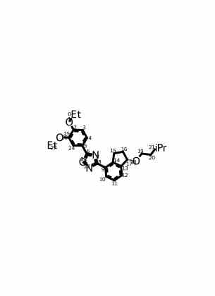 CCOc1ccc(-c2nc(-c3cccc4c3CC[C@@H]4OCCC(C)C)no2)cc1OCC